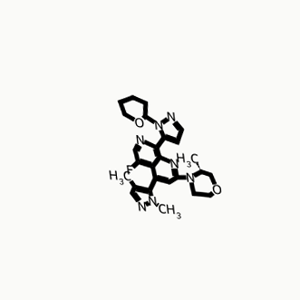 Cc1cnn(C)c1-c1cc(N2CCOC[C@H]2C)nc2c(-c3ccnn3C3CCCCO3)ncc(F)c12